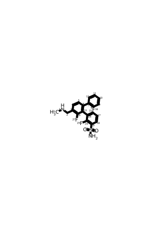 CNCc1ccc(-c2ccccc2)c(-c2c(F)ccc(S(N)(=O)=O)c2F)c1F